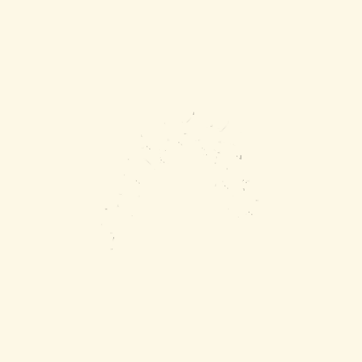 CN1CCc2c(nc(C(O)Nc3cccc(-c4cccc(NC(=O)c5nc6c(n5C)CCN(CC[C@H]5CC[C@H](C(=O)O)CC5)C6)c4C#N)c3Cl)n2C)C1